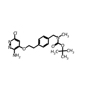 CN(Cc1ccc(CCOc2cc(Cl)nnc2N)cc1)C(=O)OC(C)(C)C